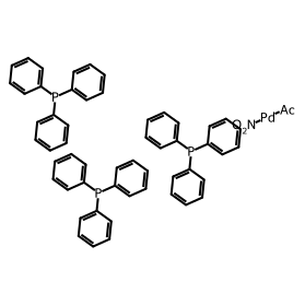 C[C](=O)[Pd][N+](=O)[O-].c1ccc(P(c2ccccc2)c2ccccc2)cc1.c1ccc(P(c2ccccc2)c2ccccc2)cc1.c1ccc(P(c2ccccc2)c2ccccc2)cc1